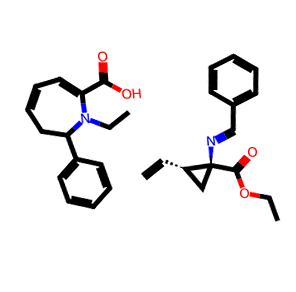 C=C[C@H]1C[C@@]1(N=Cc1ccccc1)C(=O)OCC.CCN1C(C(=O)O)=CC=CCC1c1ccccc1